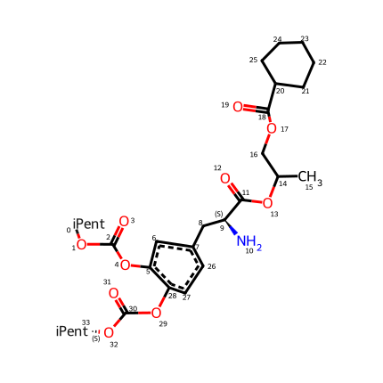 CCCC(C)OC(=O)Oc1cc(C[C@H](N)C(=O)OC(C)COC(=O)C2CCCCC2)ccc1OC(=O)O[C@@H](C)CCC